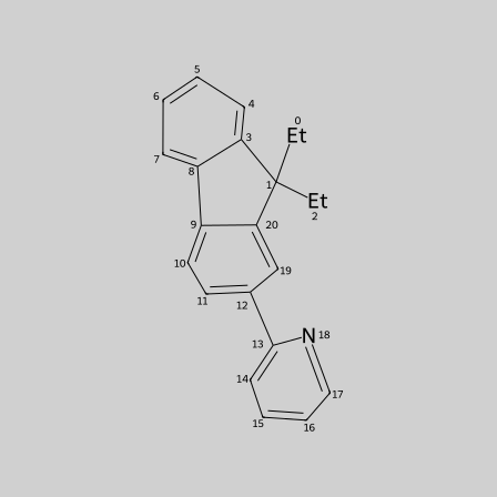 CCC1(CC)c2ccccc2-c2ccc(-c3ccccn3)cc21